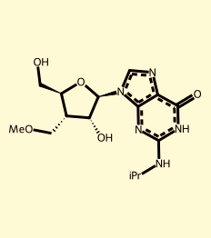 COC[C@H]1[C@@H](O)[C@H](n2cnc3c(=O)[nH]c(NC(C)C)nc32)O[C@@H]1CO